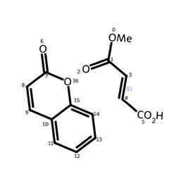 COC(=O)/C=C/C(=O)O.O=c1ccc2ccccc2o1